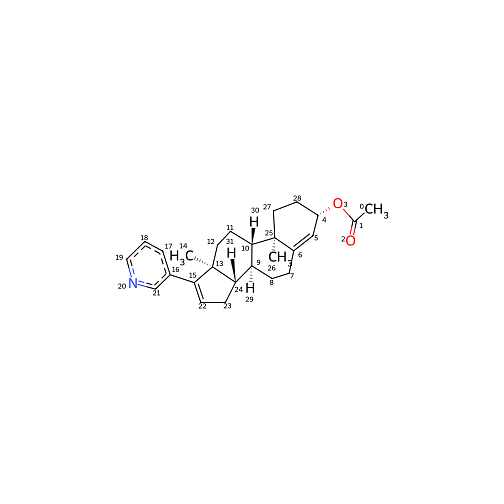 CC(=O)O[C@@H]1C=C2CC[C@@H]3[C@H](CC[C@]4(C)C(c5cccnc5)=CC[C@@H]34)[C@@]2(C)CC1